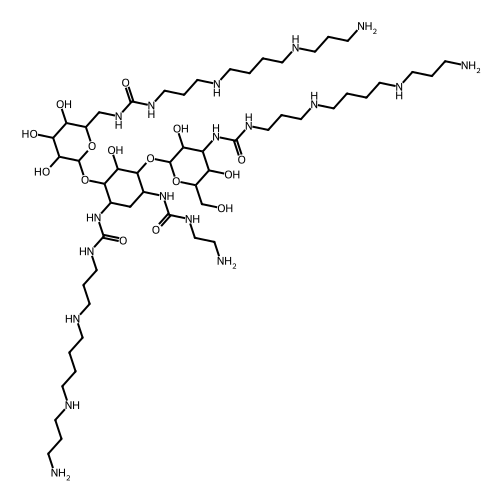 NCCCNCCCCNCCCNC(=O)NCC1OC(OC2C(NC(=O)NCCCNCCCCNCCCN)CC(NC(=O)NCCN)C(OC3OC(CO)C(O)C(NC(=O)NCCCNCCCCNCCCN)C3O)C2O)C(O)C(O)C1O